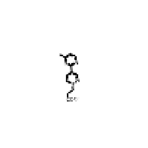 Cc1ccnc(-c2cc[n+](CCC(=O)[O-])nc2)n1